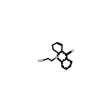 O=c1c2c(n(CCO)c3ccccc13)CCC=C2